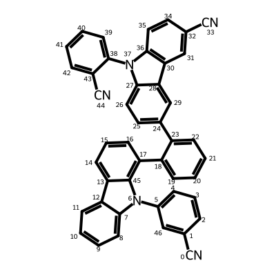 N#Cc1cccc(-n2c3ccccc3c3cccc(-c4ccccc4-c4ccc5c(c4)c4cc(C#N)ccc4n5-c4ccccc4C#N)c32)c1